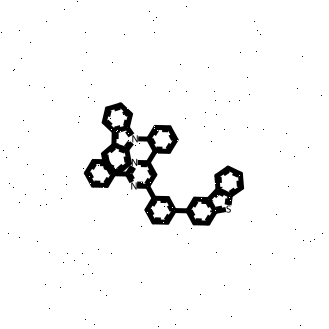 c1ccc(-c2nc(-c3cccc(-c4ccc5sc6ccccc6c5c4)c3)cc(-c3ccccc3-n3c4ccccc4c4ccccc43)n2)cc1